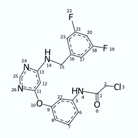 O=C(CCl)Nc1cccc(Oc2cc(NCc3cc(F)cc(F)c3)ncn2)c1